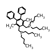 CCCCP(CCCC)Cc1c(C)c(-c2ccccc2)c(-c2ccccc2)c(C)c1CP(CCCC)CCCC